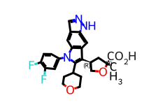 C[C@]1(C(=O)O)C[C@H](c2c(C3CCOCC3)n(-c3ccc(F)c(F)c3)c3cc4cn[nH]c4cc23)CO1